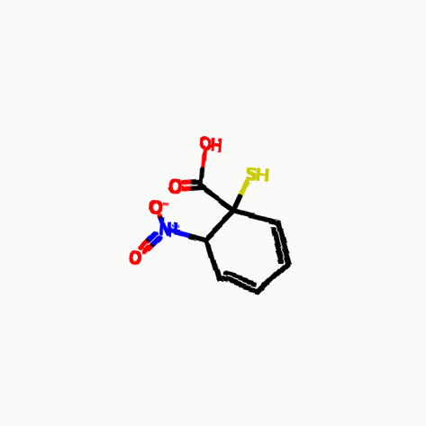 O=C(O)C1(S)C=CC=CC1[N+](=O)[O-]